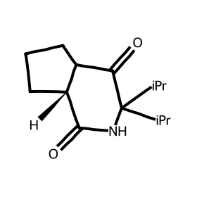 CC(C)C1(C(C)C)NC(=O)[C@@H]2CCCC2C1=O